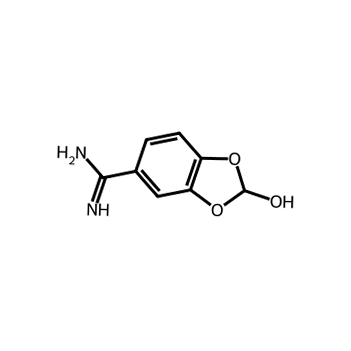 N=C(N)c1ccc2c(c1)OC(O)O2